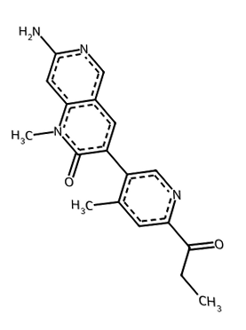 CCC(=O)c1cc(C)c(-c2cc3cnc(N)cc3n(C)c2=O)cn1